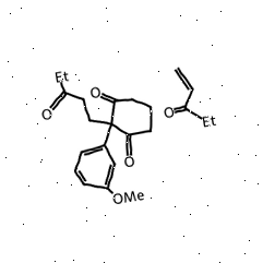 C=CC(=O)CC.CCC(=O)CCC1(c2cccc(OC)c2)C(=O)CCCC1=O